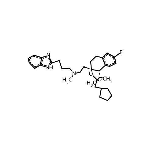 CC(C)[C@H]1c2ccc(F)cc2CC[C@@]1(CCN(C)CCCc1nc2ccccc2[nH]1)OC(=O)CC1CCCC1